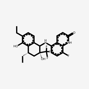 CCc1ccc2c(c1O)[C@@H](CC)C[C@](O)(C(F)(F)F)C2Nc1ccc(F)c2[nH]c(=O)ccc12